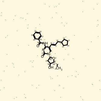 CC[C@H]1O[C@@H](n2cc(/C=C/CC3CCCC3)c(NC(=O)c3ccccc3)nc2=O)CC1O